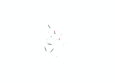 C=CCC1(C(=O)OC)Cc2ccc(OC)cc2N1C(=O)OC(C)(C)C